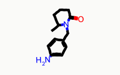 CC1CCCC(=O)N1Cc1ccc(N)cc1